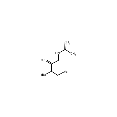 C=C(C)NCC(=C)C(CC(C)(C)C)C(C)(C)C